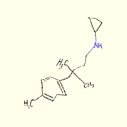 Cc1ccc(C(C)(C)CCNC2CC2)cc1